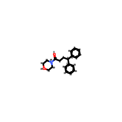 O=C(CCC(c1ccccc1)c1ccccc1)N1CCOCC1